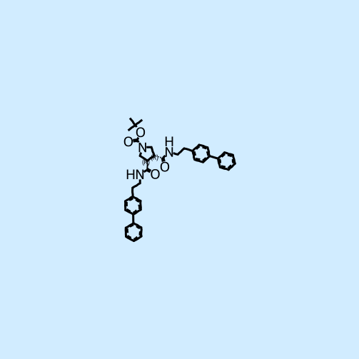 CC(C)(C)OC(=O)N1C[C@H](C(=O)NCCc2ccc(-c3ccccc3)cc2)[C@@H](C(=O)NCCc2ccc(-c3ccccc3)cc2)C1